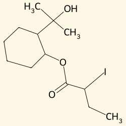 CCC(I)C(=O)OC1CCCCC1C(C)(C)O